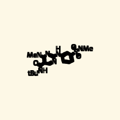 CNc1nc(Nc2cccc(S(=O)(=O)NC)c2)ncc1C(=O)NC(C)(C)C